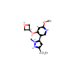 CCOC(=O)c1cc(-c2cnc(OCC)cc2OC2COC2)n(C)n1